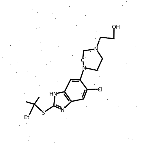 CCC(C)(C)Sc1nc2cc(Cl)c(N3CCN(CCO)CC3)cc2[nH]1